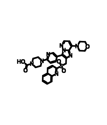 O=C(O)N1CCN(c2ccc(-c3c(CS(=O)(=O)c4ccc5ccccc5n4)nc4c(N5CCOCC5)ccnn34)cn2)CC1